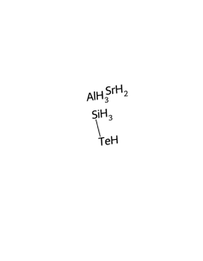 [AlH3].[SiH3][TeH].[SrH2]